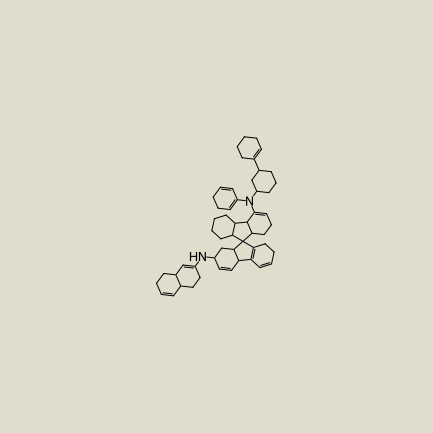 C1=CC(N(C2=CCCC3C2C2CCCCC2C32C3=C(C=CCC3)C3C=CC(NC4=CC5CCC=CC5CC4)CC32)C2CCCC(C3=CCCCC3)C2)=CCC1